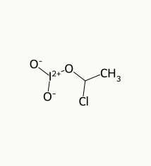 CC(Cl)O[I+2]([O-])[O-]